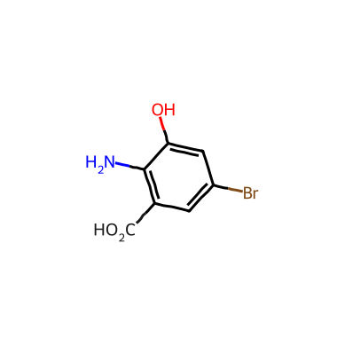 Nc1c(O)cc(Br)cc1C(=O)O